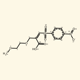 COCCOC/C(=C/S(=O)(=O)c1ccc([N+](=O)[O-])cc1)C(=O)O